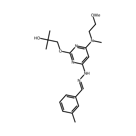 COCCN(C)c1cc(NN=Cc2cccc(C)c2)nc(OCC(C)(C)O)n1